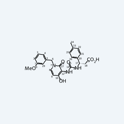 COc1cccc(Cn2ccc(O)c(NC(=O)N[C@@H](CC(=O)O)c3ccc(C)cc3)c2=O)c1